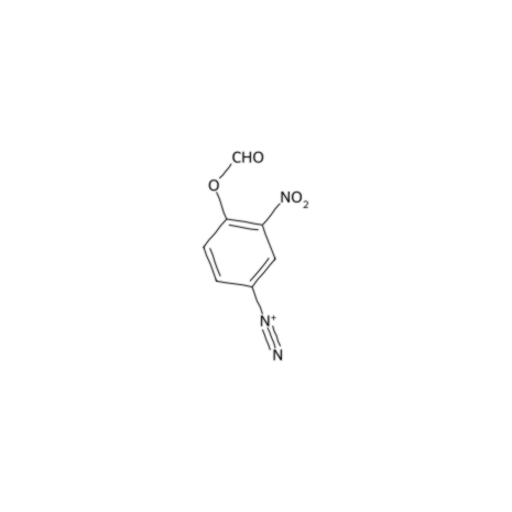 N#[N+]c1ccc(OC=O)c([N+](=O)[O-])c1